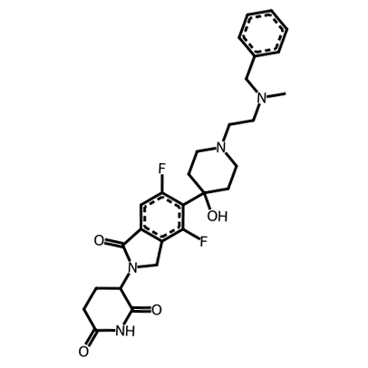 CN(CCN1CCC(O)(c2c(F)cc3c(c2F)CN(C2CCC(=O)NC2=O)C3=O)CC1)Cc1ccccc1